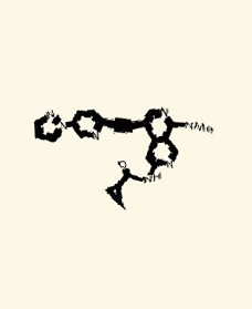 CNc1ncc(C#Cc2ccc(-n3cccn3)cn2)c2cc(NC(=O)C3CC3)ncc12